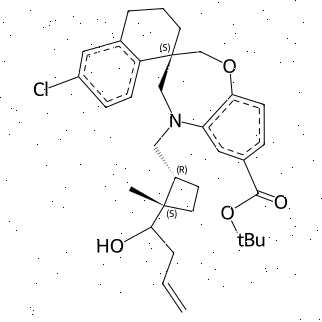 C=CCC(O)[C@@]1(C)CC[C@H]1CN1C[C@@]2(CCCc3cc(Cl)ccc32)COc2ccc(C(=O)OC(C)(C)C)cc21